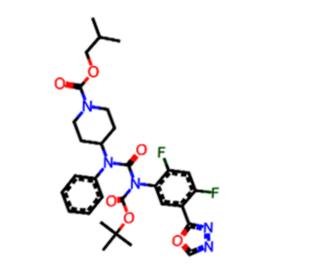 CC(C)COC(=O)N1CCC(N(C(=O)N(C(=O)OC(C)(C)C)c2cc(-c3nnco3)c(F)cc2F)c2ccccc2)CC1